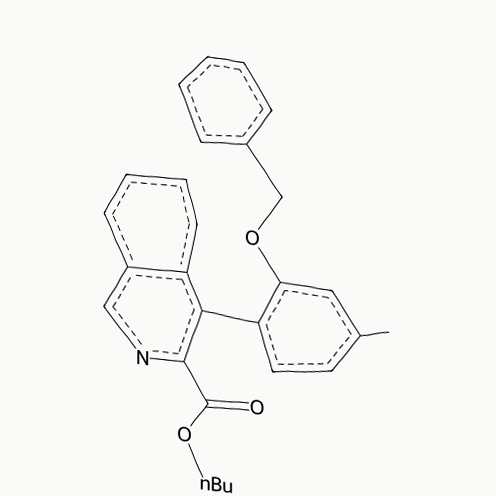 CCCCOC(=O)c1ncc2ccccc2c1-c1ccc(C)cc1OCc1ccccc1